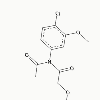 COCC(=O)N(C(C)=O)c1ccc(Cl)c(OC)c1